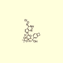 CCON=c1[nH]cnc2c1ccn2[C@@H]1O[C@H](C(C)(O)c2ccc3c(c2)CC3)[C@H]2OC(C)(C)O[C@H]21